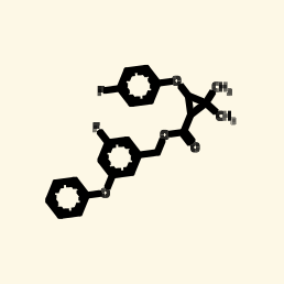 CC1(C)C(Oc2ccc(F)cc2)C1C(=O)OCc1cc(F)cc(Oc2ccccc2)c1